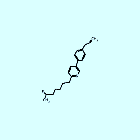 C=CCc1ccc(-c2ccc(CCCCCC(C)F)nc2)cc1